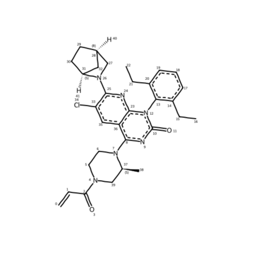 C=CC(=O)N1CCN(c2nc(=O)n(-c3c(CC)cccc3CC)c3nc(N4C[C@@H]5CC[C@H]4C5)c(Cl)cc23)[C@@H](C)C1